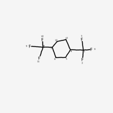 FC(F)(F)C1CCC(C(F)(F)F)CC1